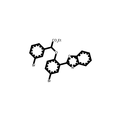 CCOC(=O)C(Oc1ccc(Br)cc1-c1nc2ccccc2o1)c1cccc(Br)c1